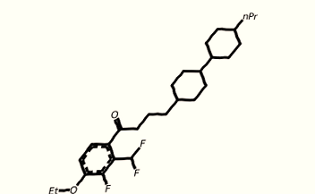 CCCC1CCC(C2CCC(CCCC(=O)c3ccc(OCC)c(F)c3C(F)F)CC2)CC1